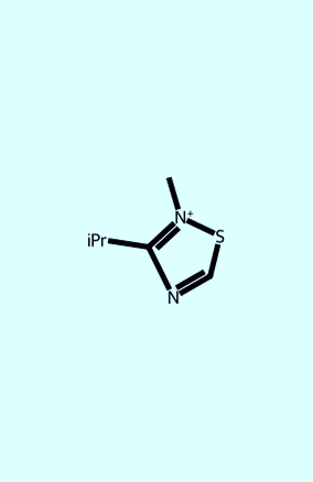 CC(C)c1ncs[n+]1C